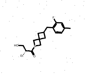 CC[C@H](CO)C(=O)N1CC2(CC(Cc3ccc(C)cc3F)C2)C1